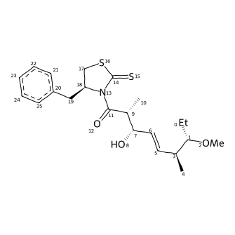 CC[C@H](OC)[C@@H](C)/C=C/[C@H](O)[C@@H](C)C(=O)N1C(=S)SC[C@@H]1Cc1ccccc1